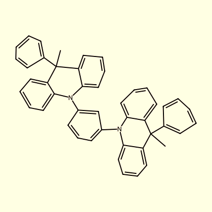 CC1(c2ccccc2)c2ccccc2N(c2cccc(N3c4ccccc4C(C)(c4ccccc4)c4ccccc43)c2)c2ccccc21